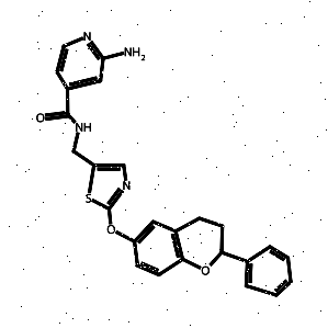 Nc1cc(C(=O)NCc2cnc(Oc3ccc4c(c3)CCC(c3ccccc3)O4)s2)ccn1